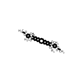 C=CC(=O)Oc1cc(C)c(N2C(=O)c3cc4cc5c(cc4cc3C2=O)CCc2cc3cc4c(cc3cc2/C=C\5)C(=O)N(c2c(C)cc(OC(=O)C=C)cc2C)C4=O)c(C)c1